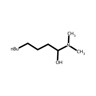 CCCCCCCC(O)N(C)C